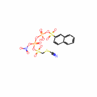 N#CSCS(=O)(=O)OP(=O)(O[N+](=O)[O-])OP(=O)(O)OS(=O)(=O)c1ccc2ccccc2c1